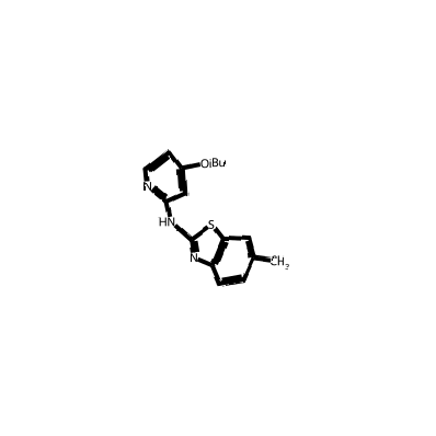 Cc1ccc2nc(Nc3cc(OCC(C)C)ccn3)sc2c1